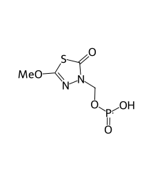 COc1nn(CO[P](=O)O)c(=O)s1